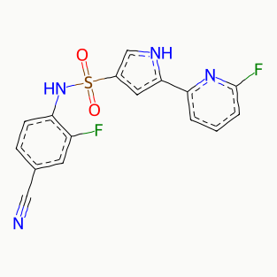 N#Cc1ccc(NS(=O)(=O)c2c[nH]c(-c3cccc(F)n3)c2)c(F)c1